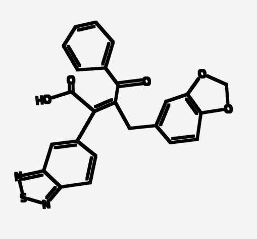 O=C(O)C(=C(Cc1ccc2c(c1)OCO2)C(=O)c1ccccc1)c1ccc2nsnc2c1